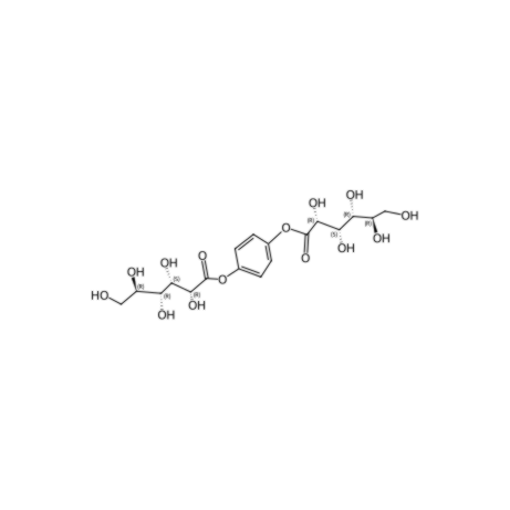 O=C(Oc1ccc(OC(=O)[C@H](O)[C@@H](O)[C@H](O)[C@H](O)CO)cc1)[C@H](O)[C@@H](O)[C@H](O)[C@H](O)CO